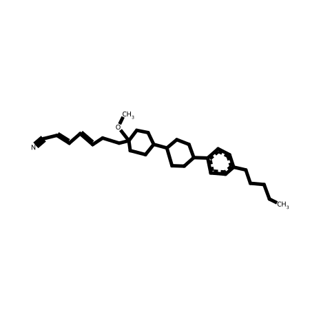 CCCCCc1ccc(C2CCC(C3CCC(CCC=CC=CC#N)(OC)CC3)CC2)cc1